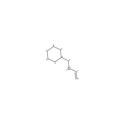 C=COCC1C[CH]CCC1